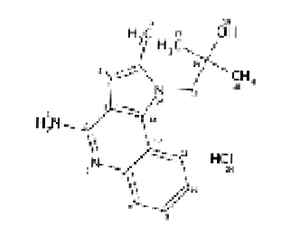 Cc1nc2c(N)nc3ccccc3c2n1CC(C)(C)O.Cl